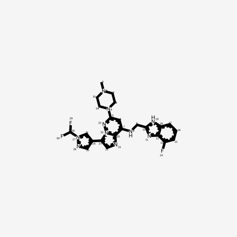 CN1CCN(c2cc(NCc3nc4c(F)cccc4[nH]3)c3ncc(-c4cnn(C(F)F)c4)n3n2)CC1